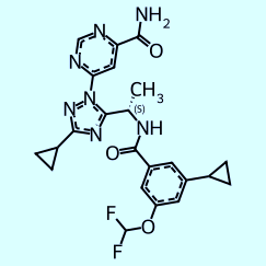 C[C@H](NC(=O)c1cc(OC(F)F)cc(C2CC2)c1)c1nc(C2CC2)nn1-c1cc(C(N)=O)ncn1